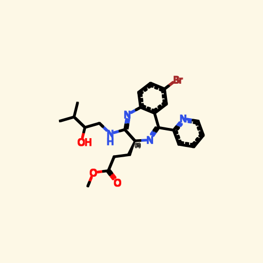 COC(=O)CC[C@@H]1N=C(c2ccccn2)c2cc(Br)ccc2N=C1NCC(O)C(C)C